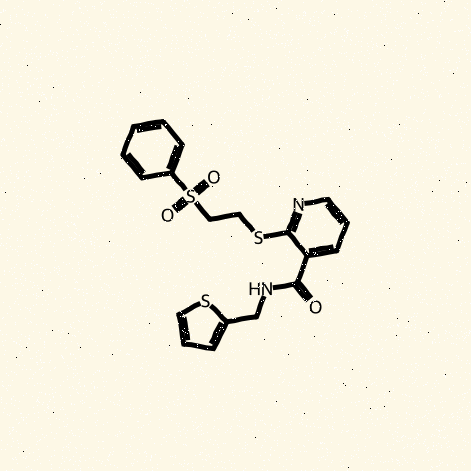 O=C(NCc1cccs1)c1cccnc1SCCS(=O)(=O)c1ccccc1